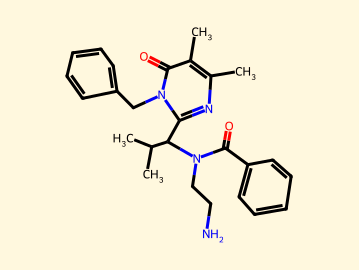 Cc1nc(C(C(C)C)N(CCN)C(=O)c2ccccc2)n(Cc2ccccc2)c(=O)c1C